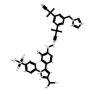 CC(C)(C#N)c1cc(Cn2cncn2)cc(C(C)(C)C#N)c1.COc1ccc(-c2cc(C(F)F)nn2-c2ccc(S(N)(=O)=O)cc2)cc1F